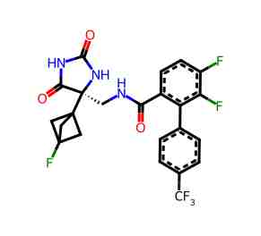 O=C1NC(=O)[C@](CNC(=O)c2ccc(F)c(F)c2-c2ccc(C(F)(F)F)cc2)(C23CC(F)(C2)C3)N1